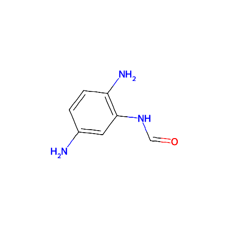 Nc1ccc(N)c(NC=O)c1